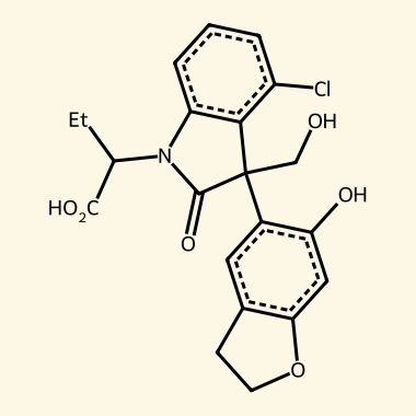 CCC(C(=O)O)N1C(=O)C(CO)(c2cc3c(cc2O)OCC3)c2c(Cl)cccc21